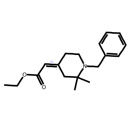 CCOC(=O)/C=C1/CCN(Cc2ccccc2)C(C)(C)C1